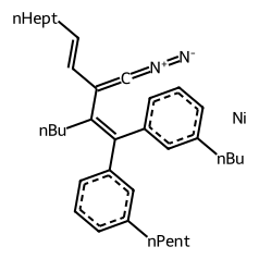 CCCCCCCC=CC(=C=[N+]=[N-])C(CCCC)=C(c1cccc(CCCC)c1)c1cccc(CCCCC)c1.[Ni]